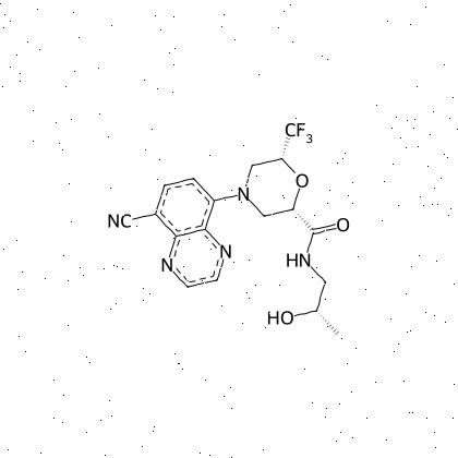 C[C@H](O)CNC(=O)[C@@H]1CN(c2ccc(C#N)c3nccnc23)C[C@H](C(F)(F)F)O1